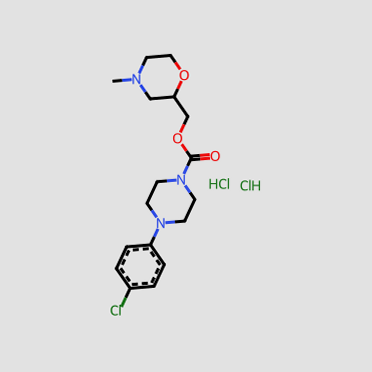 CN1CCOC(COC(=O)N2CCN(c3ccc(Cl)cc3)CC2)C1.Cl.Cl